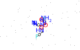 NC(=O)C1(F)CCN(C(=O)[C@H](CCCN[C@@H]2C[C@H]2c2ccc(F)cc2)NC(=O)c2ccc(-n3ccnn3)cc2)CC1